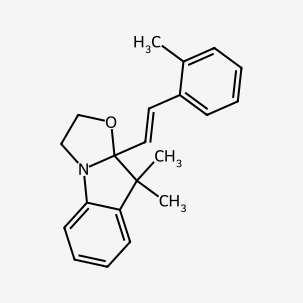 Cc1ccccc1C=CC12OCCN1c1ccccc1C2(C)C